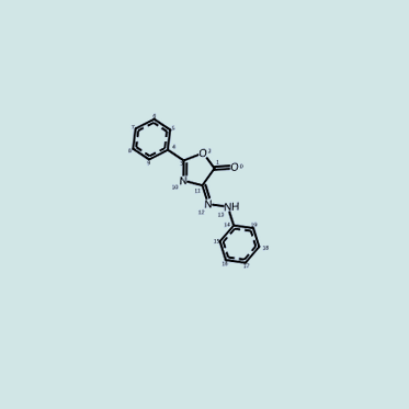 O=C1OC(c2ccccc2)=N/C1=N/Nc1ccccc1